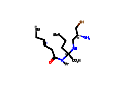 CC[C@H](C)C/C=C/CC(=O)N(C(C)C)[C@](CCSC)(NC[C@@H](N)CS)C(=O)O